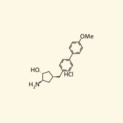 COc1ccc(-c2ccc(C[C@H]3C[C@@H](N)[C@H](O)C3)cc2)cc1.Cl